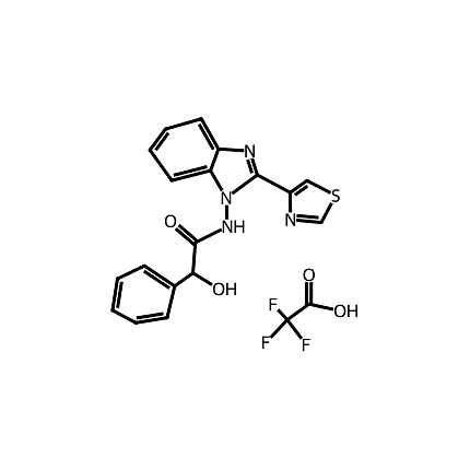 O=C(Nn1c(-c2cscn2)nc2ccccc21)C(O)c1ccccc1.O=C(O)C(F)(F)F